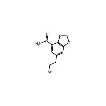 CC(=O)CCc1cc2c(c(C(N)=O)c1)OCO2